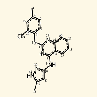 Cc1ccc(Sc2nc(Nc3cc(C)[nH]n3)c3ccccc3n2)c(Cl)c1